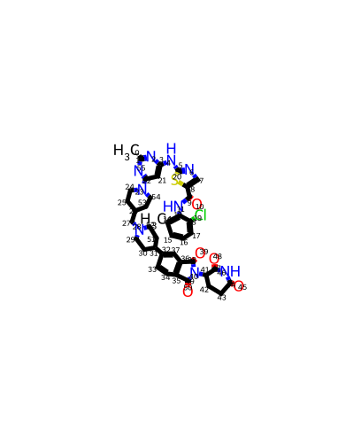 Cc1nc(Nc2ncc(C(=O)Nc3c(C)cccc3Cl)s2)cc(N2CCC(CN3CCC(c4ccc5c(c4)C(=O)N(C4CCC(=O)NC4=O)C5=O)CC3)CC2)n1